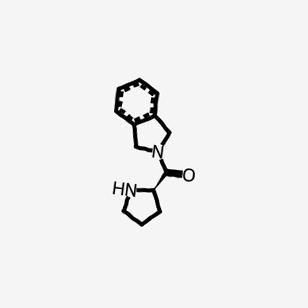 O=C([C@H]1CCCN1)N1Cc2ccccc2C1